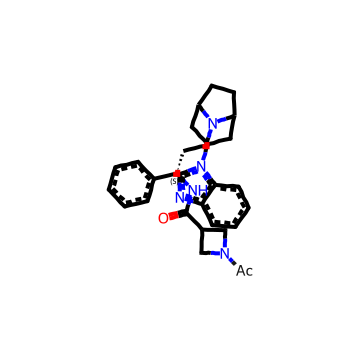 CC(=O)N1CC(C(=O)N[C@@H](CCN2C3CCC2CC(n2cnc4ccccc42)C3)c2ccccc2)C1